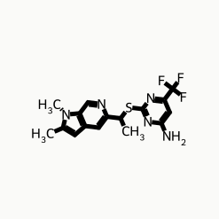 Cc1cc2cc(C(C)Sc3nc(N)cc(C(F)(F)F)n3)ncc2n1C